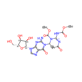 CCC(N(C(=O)OC(C)(C)C)/C(=N\C(=O)C(C)C)NC(=O)OC(C)(C)C)n1c(N)nc2c(ncn2[C@@H]2O[C@H](CO)[C@@H](O)[C@H]2O)c1=O